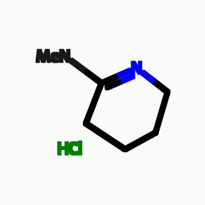 CNC1=NCCCC1.Cl